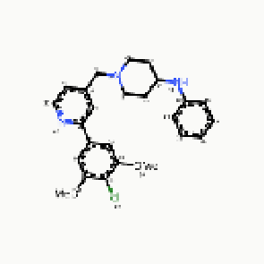 COc1cc(-c2cc(CN3CCC(Nc4ccccc4)CC3)ccn2)cc(OC)c1Cl